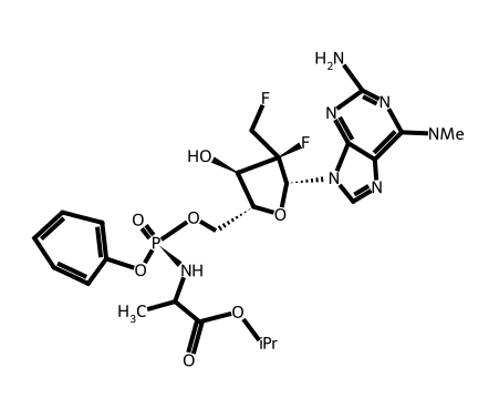 CNc1nc(N)nc2c1ncn2[C@@H]1O[C@H](CO[P@](=O)(NC(C)C(=O)OC(C)C)Oc2ccccc2)[C@@H](O)[C@]1(F)CF